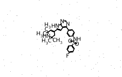 CC1(C)C=C(c2cc3c(-c4ccc(NS(=O)(=O)c5ccc(F)cc5)cc4)ncnc3[nH]2)CC(C)(C)N1